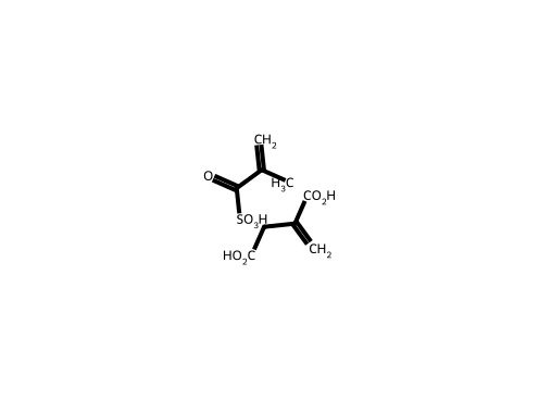 C=C(C)C(=O)S(=O)(=O)O.C=C(CC(=O)O)C(=O)O